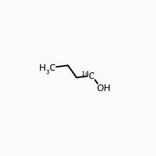 CCC[14CH2]O